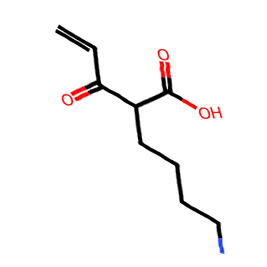 C=CC(=O)C(CCCCN)C(=O)O